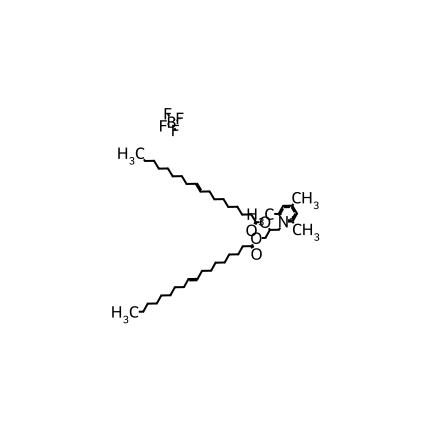 CCCCCCCCC=CCCCCCCCC(=O)OCC(C[n+]1c(C)cc(C)cc1C)OC(=O)CCCCCCCC=CCCCCCCCC.F[B-](F)(F)F